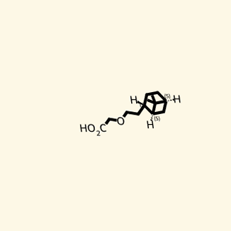 CC1(C)[C@H]2CC[C@@H](CCOCC(=O)O)[C@@H]1C2